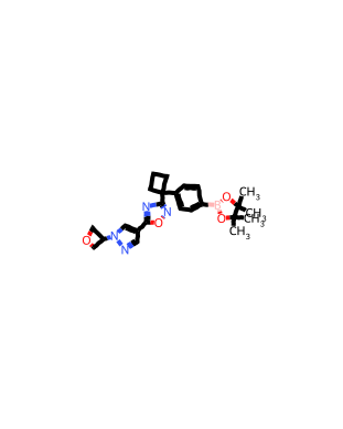 CC1(C)OB(c2ccc(C3(c4noc(-c5cnn(C6COC6)c5)n4)CCC3)cc2)OC1(C)C